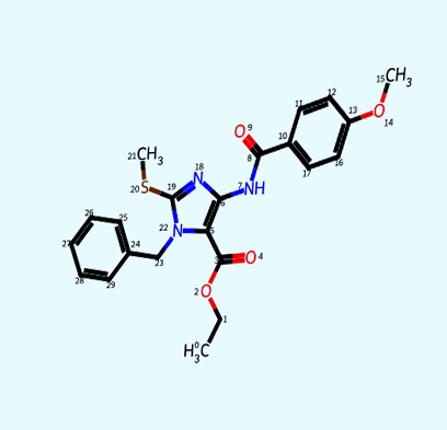 CCOC(=O)c1c(NC(=O)c2ccc(OC)cc2)nc(SC)n1Cc1ccccc1